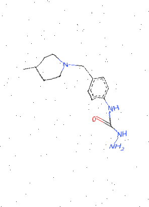 CC1CCN(Cc2ccc(NC(=O)NN)cc2)CC1